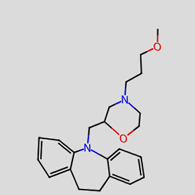 COCCCN1CCOC(CN2c3ccccc3CCc3ccccc32)C1